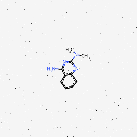 CN(C)c1nc(N)c2ccccc2n1